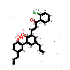 C=CCc1ccc(O)c(-c2cc(CC=C)cc(C=CC(=O)c3ccccc3Br)c2O)c1